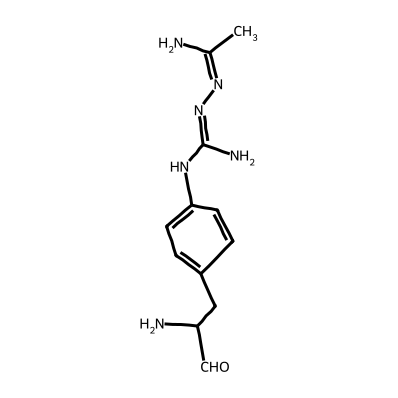 C/C(N)=N/N=C(\N)Nc1ccc(CC(N)C=O)cc1